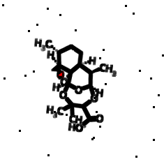 C[C@H]1[C@H]2OC(C(=O)O)C(C)(C)O[C@H](O2)[C@@]23OOCCC[C@H]2[C@H](C)CC[C@@H]13